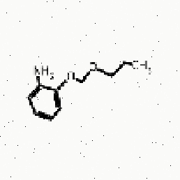 CCCOCOc1ccccc1N